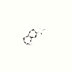 CC(C)S(=O)(=O)c1ccc2cccnc2c1